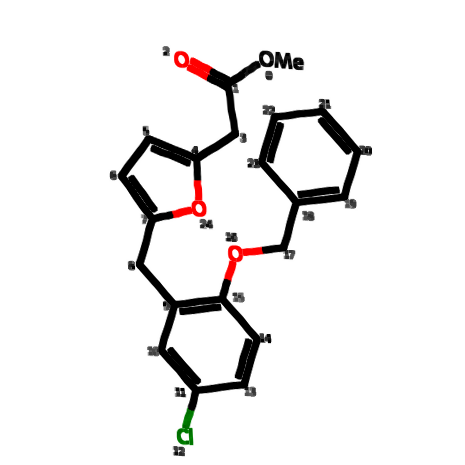 COC(=O)Cc1ccc(Cc2cc(Cl)ccc2OCc2ccccc2)o1